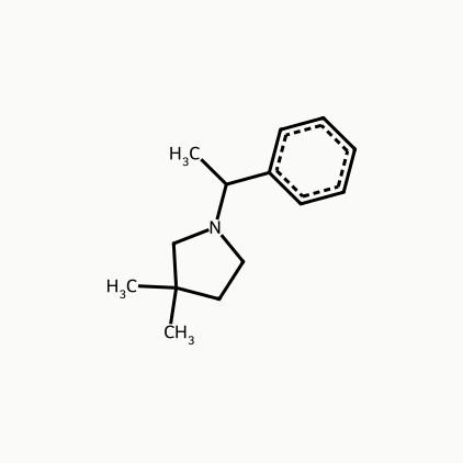 CC(c1ccccc1)N1CCC(C)(C)C1